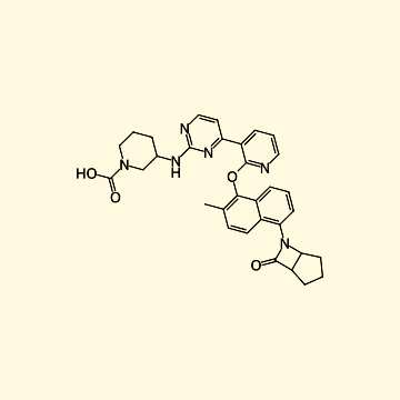 Cc1ccc2c(N3C(=O)C4CCCC43)cccc2c1Oc1ncccc1-c1ccnc(NC2CCCN(C(=O)O)C2)n1